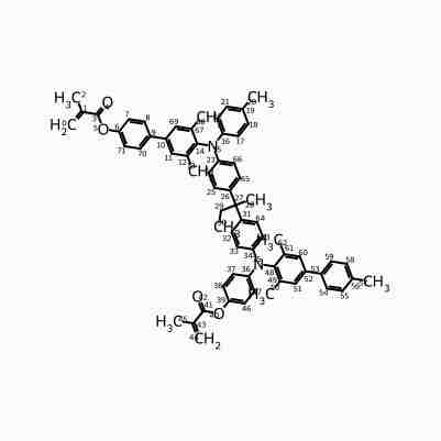 C=C(C)C(=O)Oc1ccc(-c2cc(C)c(N(c3ccc(C)cc3)c3ccc(C(C)(CC)c4ccc(N(c5ccc(OC(=O)C(=C)C)cc5)c5c(C)cc(-c6ccc(C)cc6)cc5C)cc4)cc3)c(C)c2)cc1